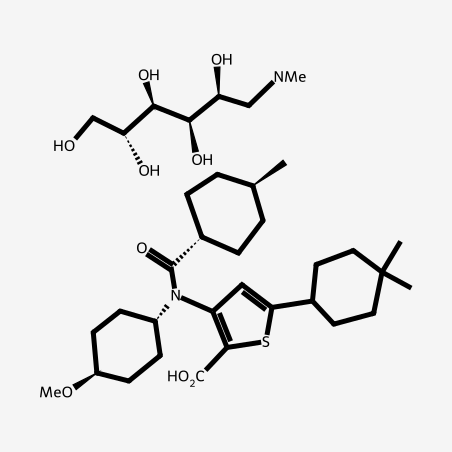 CNC[C@H](O)[C@@H](O)[C@H](O)[C@H](O)CO.CO[C@H]1CC[C@H](N(c2cc(C3CCC(C)(C)CC3)sc2C(=O)O)C(=O)[C@H]2CC[C@H](C)CC2)CC1